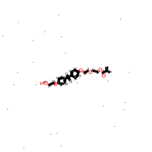 C=C(C)C(=O)OCCOCCOc1ccc(C(C)(C)c2ccc(OCCO)cc2)cc1